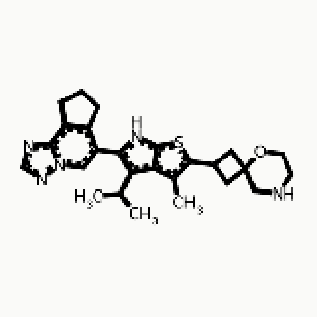 Cc1c(C2CC3(CNCCO3)C2)sc2[nH]c(-c3cn4ncnc4c4c3CCC4)c(C(C)C)c12